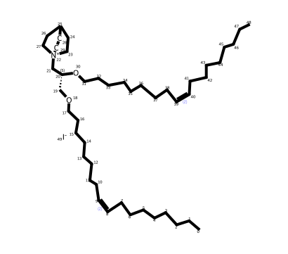 CCCCCCCC/C=C\CCCCCCCCOC[C@H](C[N+]12CCC(CC1)CC2)OCCCCCCCC/C=C\CCCCCCCC.[I-]